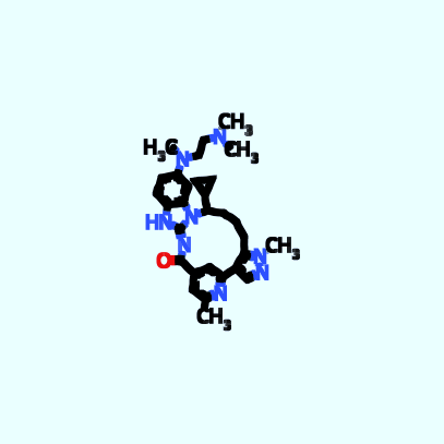 Cc1cc2cc(n1)-c1cnn(C)c1CCCC(C1CC1)N1/C(=N/C2=O)Nc2ccc(N(C)CCN(C)C)cc21